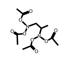 CC(=O)ON(CC(C)N(OC(C)=O)OC(C)=O)OC(C)=O